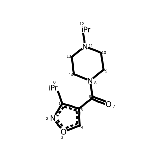 CC(C)c1nocc1C(=O)N1CCN(C(C)C)CC1